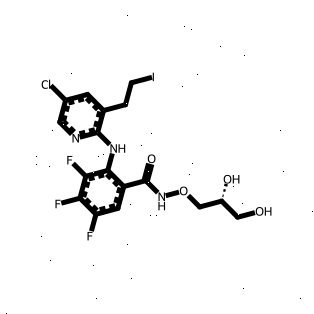 O=C(NOC[C@H](O)CO)c1cc(F)c(F)c(F)c1Nc1ncc(Cl)cc1CCI